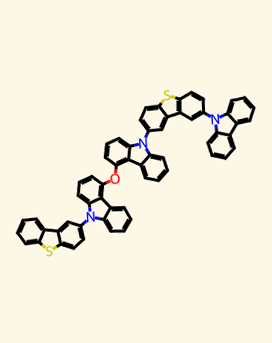 c1ccc2c(c1)sc1ccc(-n3c4ccccc4c4c(Oc5cccc6c5c5ccccc5n6-c5ccc6sc7ccc(-n8c9ccccc9c9ccccc98)cc7c6c5)cccc43)cc12